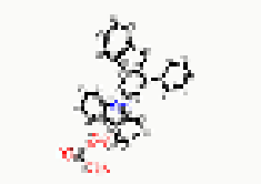 OB(O)O.c1ccc(-c2cccc3c2Cc2ccccc2-3)cc1.c1ccc2c(c1)[nH]c1ccccc12